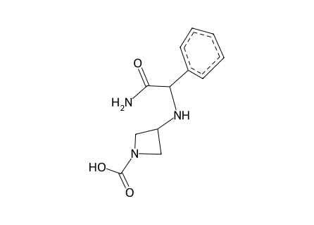 NC(=O)C(NC1CN(C(=O)O)C1)c1ccccc1